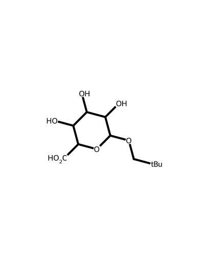 CC(C)(C)COC1OC(C(=O)O)C(O)C(O)C1O